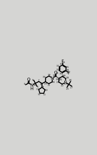 CC(=O)NC(C)(C)CC(C1CCCC1)C1CCN(C(=O)[C@@H]2CCN(C(C)(C)C)C[C@H]2c2ccc(F)cc2F)CC1